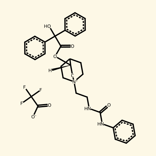 O=C(NCC[N+]12CCC(CC1)[C@@H](OC(=O)C(O)(c1ccccc1)c1ccccc1)C2)Nc1ccccc1.O=C([O-])C(F)(F)F